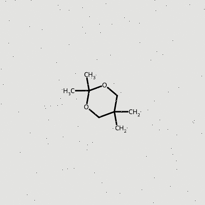 [CH2]C1([CH2])COC(C)(C)OC1